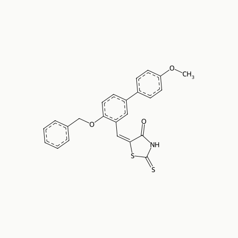 COc1ccc(-c2ccc(OCc3ccccc3)c(/C=C3/SC(=S)NC3=O)c2)cc1